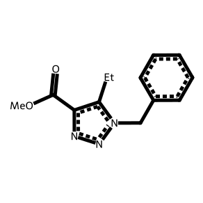 CCc1c(C(=O)OC)nnn1Cc1ccccc1